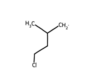 [CH2]C(C)CCCl